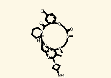 Cc1c(N2CC(N)C2)nc2cc3nn2c1N(C)CCN(C)C(=O)COc1ccc(Cl)cc1C(=O)N1CCCC[C@@H]31